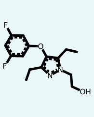 CCc1nn(CCO)c(CC)c1Oc1cc(F)cc(F)c1